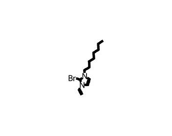 C=CN1C=CN(CCCCCCCC)C1Br